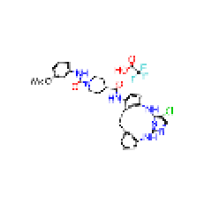 COc1cccc(NC(=O)N2CCC(C(=O)Nc3ccc4cc3CCc3cccc(c3)Nc3ncc(Cl)c(n3)N4)CC2)c1.O=C(O)C(F)(F)F